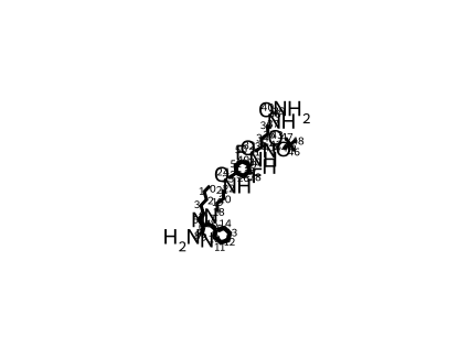 CCCCc1nc2c(N)nc3ccccc3c2n1CCCCNC(=O)c1cc(F)c(NC(=O)C(CCCNC(N)=O)NC(=O)OC(C)(C)C)c(F)c1